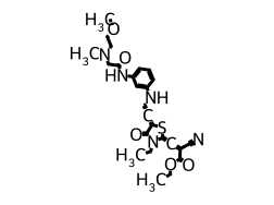 CCOC(=O)C(=C=c1sc(=C=CNc2cccc(NC(=O)CN(C)CCOC)c2)c(=O)n1CC)C#N